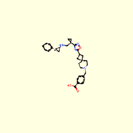 O=C(O)c1ccc(CN2CCC3(CC2)CC(c2nc(C4(CNC5C[C@@H]5c5ccccc5)CC4)no2)C3)cc1